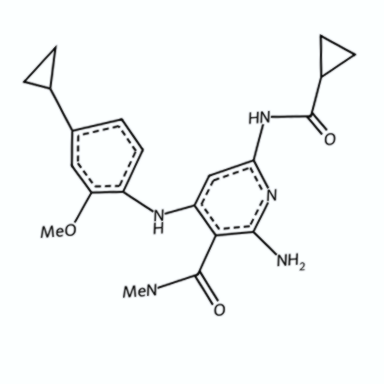 CNC(=O)c1c(Nc2ccc(C3CC3)cc2OC)cc(NC(=O)C2CC2)nc1N